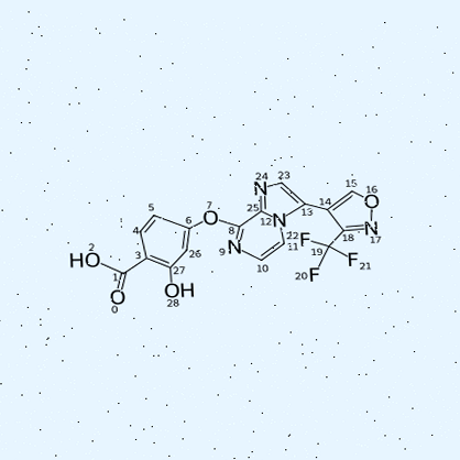 O=C(O)c1ccc(Oc2nccn3c(-c4conc4C(F)(F)F)cnc23)cc1O